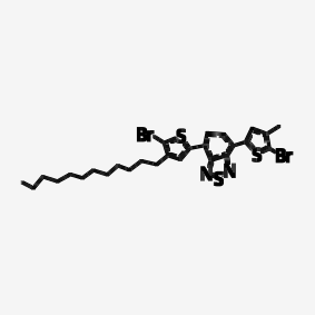 CCCCCCCCCCCCc1cc(-c2ccc(-c3cc(C)c(Br)s3)c3nsnc23)sc1Br